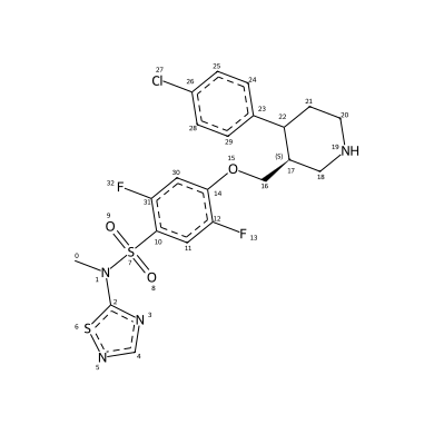 CN(c1ncns1)S(=O)(=O)c1cc(F)c(OC[C@@H]2CNCCC2c2ccc(Cl)cc2)cc1F